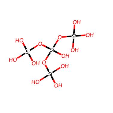 O[Si](O)(O)O[Si](O)(O[Si](O)(O)O)O[Si](O)(O)O